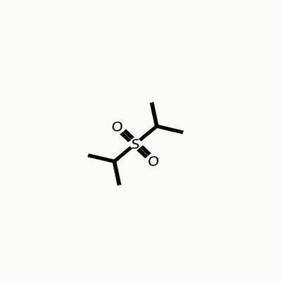 CC(C)S(=O)(=O)C(C)C